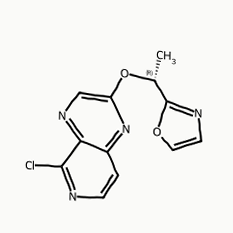 C[C@@H](Oc1cnc2c(Cl)nccc2n1)c1ncco1